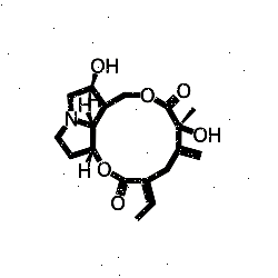 C=C1C/C(=C/C)C(=O)O[C@@H]2CCN3C[C@@H](O)[C@H](COC(=O)[C@]1(C)O)[C@H]23